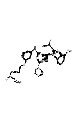 COc1cccc2c1nc(C(F)F)n2-c1nc(Nc2ccnc(OCCCN(C)C)c2)nc(N2CCOCC2)n1